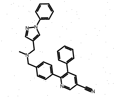 CN(Cc1ccc(-c2ncc(C#N)cc2-c2ccccc2)cc1)Cc1cnn(-c2ccccc2)c1